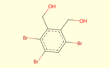 OCc1c(Br)cc(Br)c(Br)c1CO